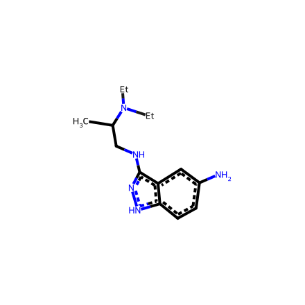 CCN(CC)C(C)CNc1n[nH]c2ccc(N)cc12